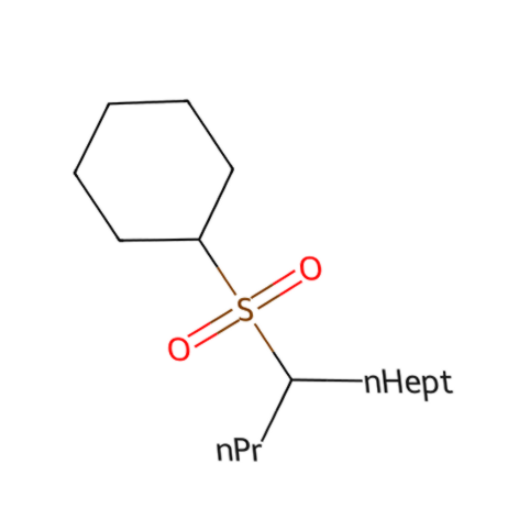 CCCCCCCC(CCC)S(=O)(=O)C1CCCCC1